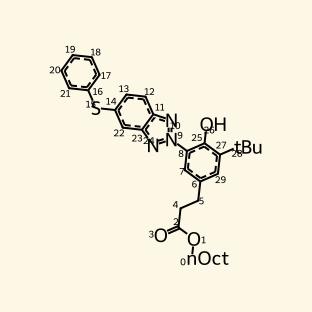 CCCCCCCCOC(=O)CCc1cc(-n2nc3ccc(Sc4ccccc4)cc3n2)c(O)c(C(C)(C)C)c1